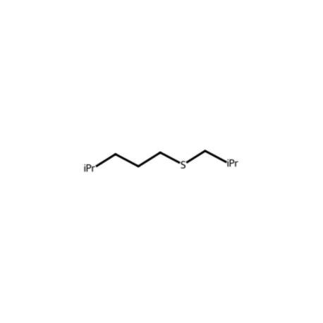 CC(C)CCCSCC(C)C